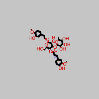 COc1ccc(CCOC2O[C@H](CO)[C@@H](OC(=O)/C=C/c3ccc(O)c(OC)c3)[C@H](OC3O[C@@H](C)[C@H](O)[C@@H](O)[C@H]3O)[C@H]2O)cc1O